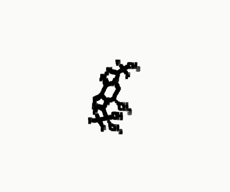 C[C@H]1Cn2c(nnc2C(C)(F)F)-c2cnc([C@@](C)(O)C(F)(F)F)n21